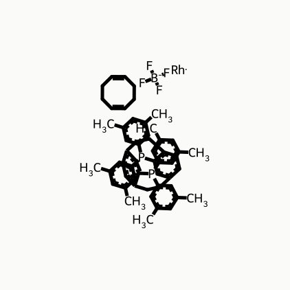 C1=C\CC/C=C\CC/1.Cc1cc(C)cc(P(c2cc(C)cc(C)c2)c2cc3ccc2CCc2ccc(c(P(c4cc(C)cc(C)c4)c4cc(C)cc(C)c4)c2)CC3)c1.F[B-](F)(F)F.[Rh]